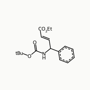 CCOC(=O)/C=C/C(NC(=O)OC(C)(C)C)c1ccccc1